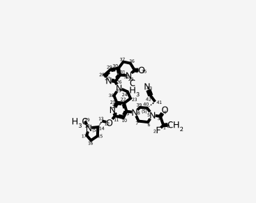 C=C(F)C(=O)N1CCN(c2cc(OC[C@@H]3CCCN3C)nc3c2CCN(c2nccc4c2N(C)C(=O)CC4)C3)C[C@@H]1CC#N